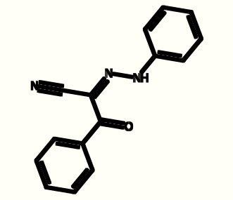 N#CC(=NNc1ccccc1)C(=O)c1ccccc1